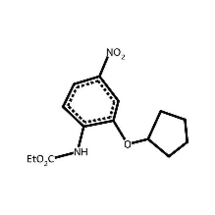 CCOC(=O)Nc1ccc([N+](=O)[O-])cc1OC1CCCC1